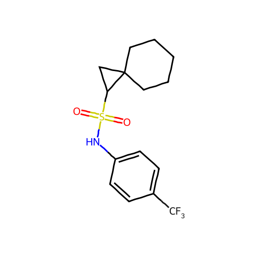 O=S(=O)(Nc1ccc(C(F)(F)F)cc1)C1CC12CCCCC2